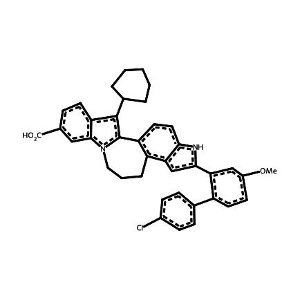 COc1ccc(-c2ccc(Cl)cc2)c(-c2cc3c4c(ccc3[nH]2)-c2c(C3CCCCC3)c3ccc(C(=O)O)cc3n2CCC4)c1